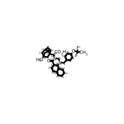 CC(F)(F)Oc1ccc(CN2CN([C@H](C(=O)O)C34CC5CC3CC(O)(C5)C4)C(=O)c3ccc4ccccc4c32)cc1